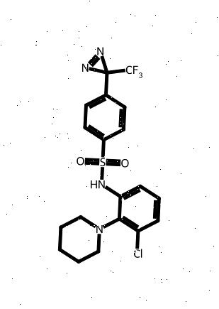 O=S(=O)(Nc1cccc(Cl)c1N1CCCCC1)c1ccc(C2(C(F)(F)F)N=N2)cc1